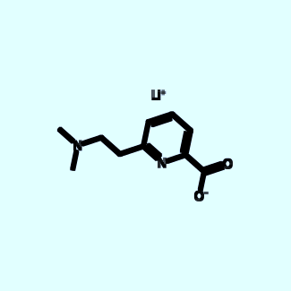 CN(C)CCc1cccc(C(=O)[O-])n1.[Li+]